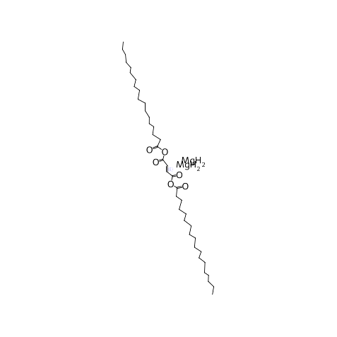 CCCCCCCCCCCCCCCCCC(=O)OC(=O)/C=C/C(=O)OC(=O)CCCCCCCCCCCCCCCCC.[MgH2].[MgH2]